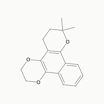 CC1(C)CCc2c3c(c4ccccc4c2O1)OCCO3